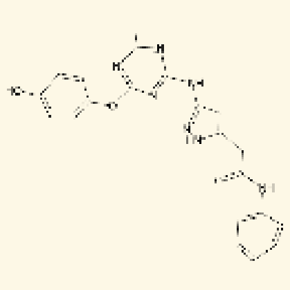 Cc1nc(Nc2cc(CC(=O)Nc3ccccc3)[nH]n2)nc(Oc2ccc(O)cc2)n1